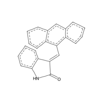 O=C1Nc2ccccc2/C1=C\c1c2ccccc2cc2ccccc12